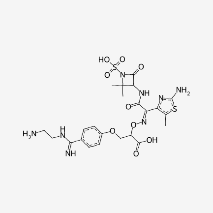 Cc1sc(N)nc1C(=NOC(COc1ccc(C(=N)NCCN)cc1)C(=O)O)C(=O)NC1C(=O)N(S(=O)(=O)O)C1(C)C